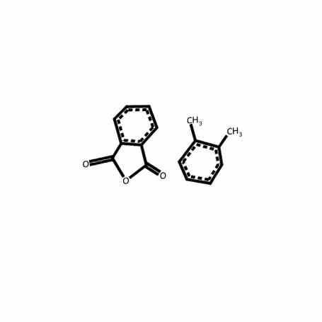 Cc1ccccc1C.O=C1OC(=O)c2ccccc21